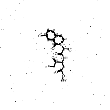 CCCOC(=O)CC(NC(=O)[C@H](CC)n1ccc2ccc(Cl)cc2c1=O)C(=O)CF